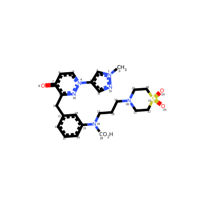 Cn1cc(-n2ccc(=O)c(Cc3cccc(N(CCCN4CCS(=O)(=O)CC4)C(=O)O)c3)n2)cn1